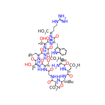 CC[C@H](C)[C@H](N)C(=O)N[C@@H](CC(=O)O)C(=O)N[C@H](C(=O)N[C@@H](CC(=O)O)C(=O)NCC(=O)N[C@H](C(=O)N[C@H](C(=O)N[C@@H](CC(C)C)C(=O)N[C@@H](CC(=O)O)C(=O)N[C@H](C(=O)N[C@@H](Cc1c[nH]c2ccccc12)C(=O)N[C@@H](CCCNC(=N)N)C(=O)O)[C@@H](C)O)[C@@H](C)O)[C@@H](C)O)[C@@H](C)CC